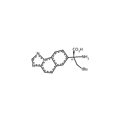 CC(C)(C)C[C@](N)(C(=O)O)c1ccc2c(ccc3ncnn32)c1